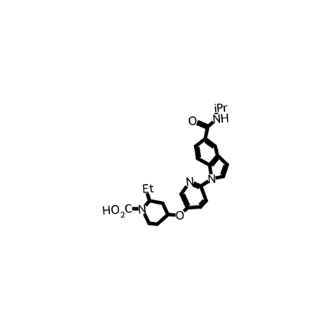 CCC1CC(Oc2ccc(-n3ccc4cc(C(=O)NC(C)C)ccc43)nc2)CCN1C(=O)O